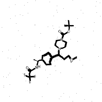 COCCC(c1ccc([C@H](C)NC(=O)C(F)(F)F)cc1)N1CCN(C(=O)OC(C)(C)C)CC1